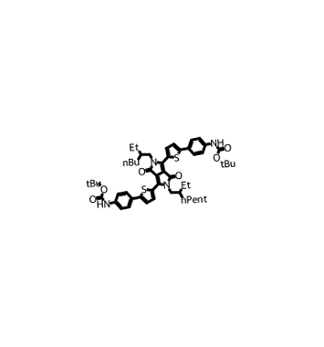 CCCCCC(CC)CN1C(=O)C2=C(c3ccc(-c4ccc(NC(=O)OC(C)(C)C)cc4)s3)N(CC(CC)CCCC)C(=O)C2=C1c1ccc(-c2ccc(NC(=O)OC(C)(C)C)cc2)s1